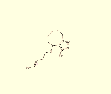 CC(C)/C=C/CCOC1CCCCCc2nnn(C(C)C)c21